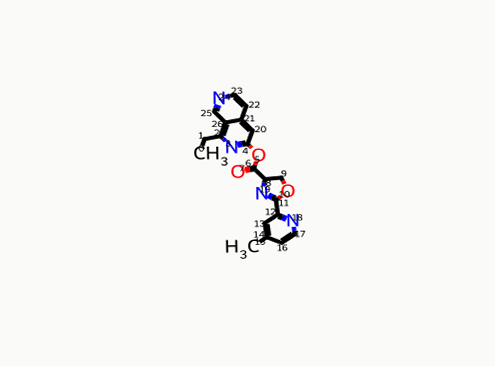 CCc1nc(OC(=O)C2COC(c3cc(C)ccn3)=N2)cc2ccncc12